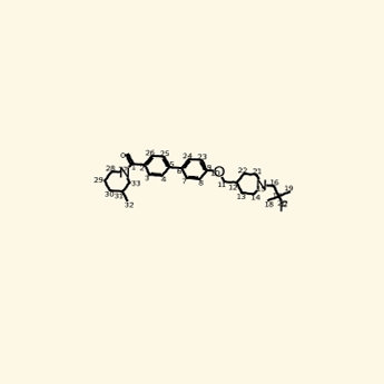 C=C(c1ccc(-c2ccc(OCC3CCN(CC(C)(C)F)CC3)cc2)cc1)N1CCCC(C)C1